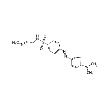 CN=CCNS(=O)(=O)c1ccc(/N=N/c2ccc(N(C)C)cc2)cc1